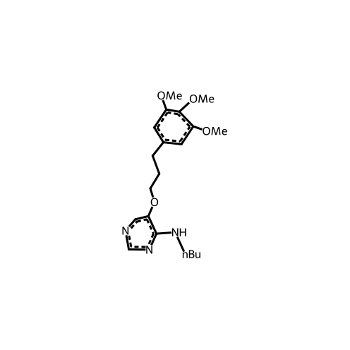 CCCCNc1ncncc1OCCCc1cc(OC)c(OC)c(OC)c1